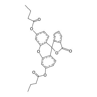 CCCC(=O)Oc1ccc2c(c1)Oc1cc(OC(=O)CCC)ccc1C21OC(=O)c2ccccc21